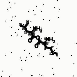 CSCC[C@H](N)C(=O)OC(=O)[C@@H](N)CC(C)C